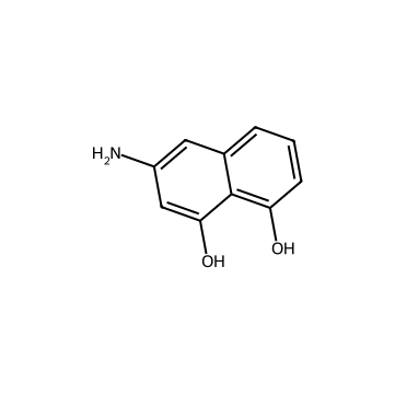 Nc1cc(O)c2c(O)cccc2c1